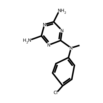 CN(c1ccc(Cl)cc1)c1nc(N)nc(N)n1